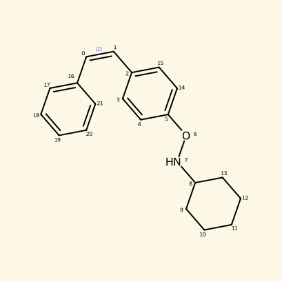 C(=C/c1ccc(ONC2CCCCC2)cc1)/c1ccccc1